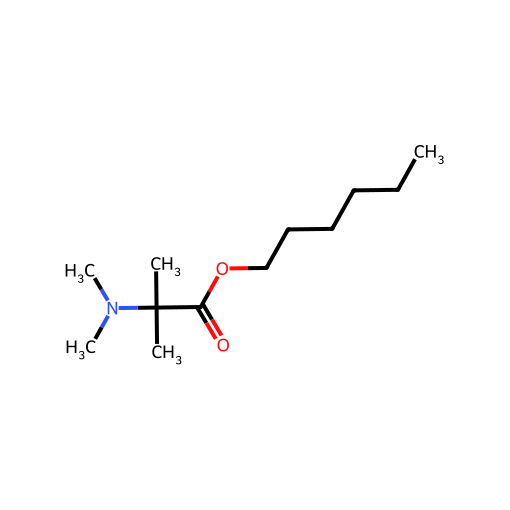 CCCCCCOC(=O)C(C)(C)N(C)C